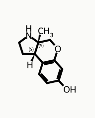 C[C@@]12COc3cc(O)ccc3[C@@H]1CCN2